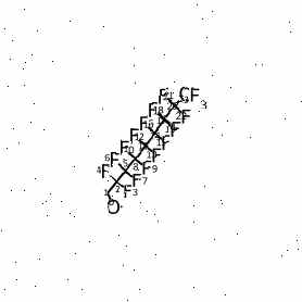 [O]CC(F)(F)C(F)(F)C(F)(F)C(F)(F)C(F)(F)C(F)(F)C(F)(F)C(F)(F)F